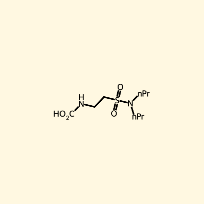 CCCN(CCC)S(=O)(=O)CCNC(=O)O